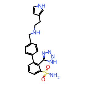 NS(=O)(=O)c1cccc(-c2ccc(CNCCc3cc[nH]c3)cc2)c1-c1nnn[nH]1